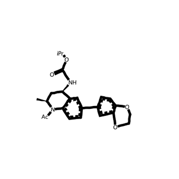 CC(=O)N1c2ccc(-c3ccc4c(c3)OCCO4)cc2[C@H](NC(=O)OC(C)C)C[C@@H]1C